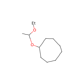 CCOC(C)OC1CCCCCCC1